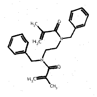 C=C(C)C(=O)N(CCN(Cc1ccccc1)C(=O)C(=C)C)Cc1ccccc1